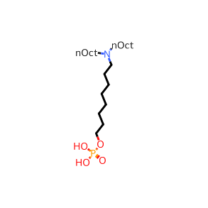 CCCCCCCCN(CCCCCCCC)CCCCCCCCOP(=O)(O)O